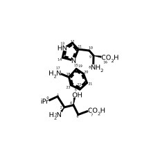 CC(C)C[C@H](N)[C@@H](O)CC(=O)O.N[C@@H](Cc1c[nH]cn1)C(=O)O.Nc1ccccc1